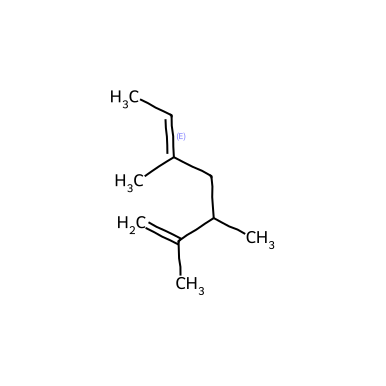 C=C(C)C(C)C/C(C)=C/C